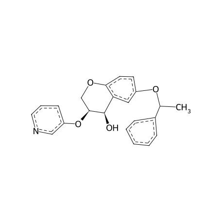 CC(Oc1ccc2c(c1)[C@@H](O)[C@@H](Oc1cccnc1)CO2)c1ccccc1